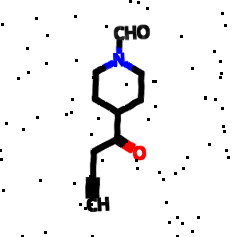 C#CCC(=O)C1CCN(C=O)CC1